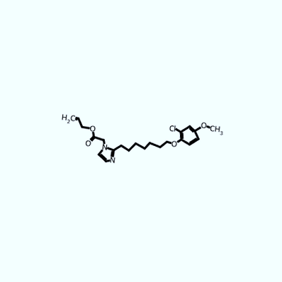 C=CCOC(=O)Cn1ccnc1CCCCCCCOc1ccc(OC)cc1Cl